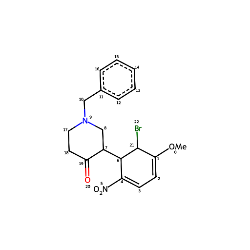 COC1=CC=C([N+](=O)[O-])C(C2CN(Cc3ccccc3)CCC2=O)C1Br